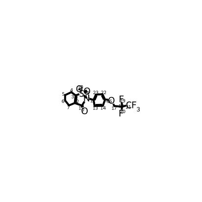 O=C1C2=C(CCCC2)S(=O)(=O)N1c1ccc(OCC(F)(F)C(F)(F)F)cc1